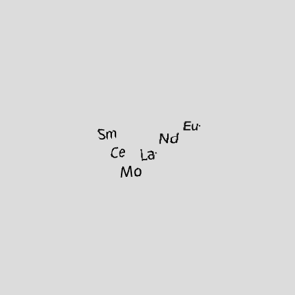 [Ce].[Eu].[La].[Mo].[Nd].[Sm]